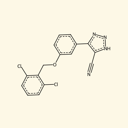 N#Cc1[nH]nnc1-c1cccc(OCc2c(Cl)cccc2Cl)c1